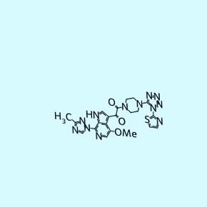 COc1cnc(-n2cnc(C)n2)c2[nH]cc(C(=O)C(=O)N3CCN(c4nnnn4-c4nccs4)CC3)c12